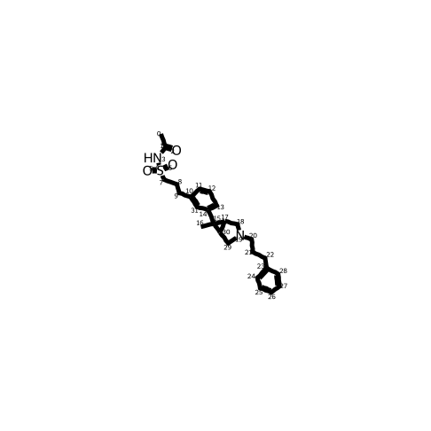 CC(=O)NS(=O)(=O)CCCc1cccc(C2(C)C3CN(CCCc4ccccc4)CC32)c1